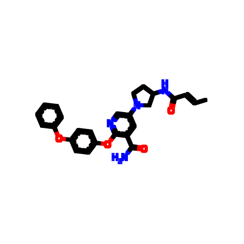 CC=CC(=O)NC1CCN(c2cnc(Oc3ccc(Oc4ccccc4)cc3)c(C(N)=O)c2)C1